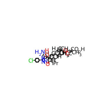 CC(C)C1=C2[C@H]3CC[C@@H]4[C@@]5(C)CC[C@H](OC(=O)CC(C)(C)C(=O)O)C(C)(C)[C@@H]5CC[C@@]4(C)[C@]3(C)CC[C@@]2([C@@H](O)c2nnc(-c3ccc(Cl)cc3)n2CCN)CC1=O